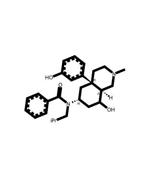 CC(C)CN(C(=O)c1ccccc1)[C@H]1CC(O)[C@@H]2CN(C)CC[C@@]2(c2cccc(O)c2)C1